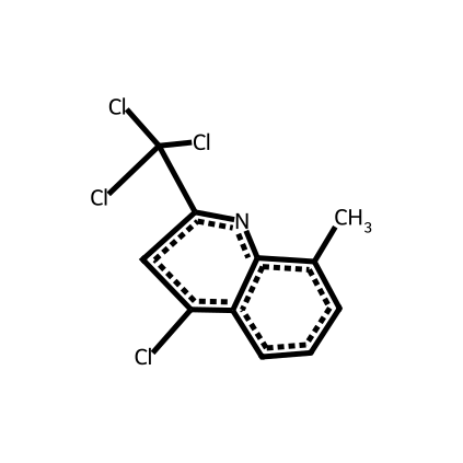 Cc1cccc2c(Cl)cc(C(Cl)(Cl)Cl)nc12